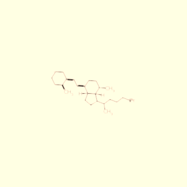 C=C1CC[CH]C/C1=C/C=C1\CC[C@@H](C)[C@@H]2[C@@H]([C@H](C)CCCC(C)C)CC[C@H]12